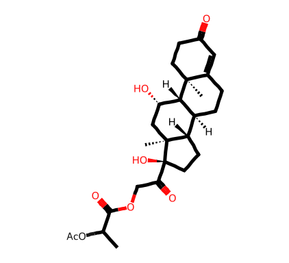 CC(=O)OC(C)C(=O)OCC(=O)[C@@]1(O)CC[C@H]2[C@@H]3CCC4=CC(=O)CC[C@]4(C)[C@H]3[C@@H](O)C[C@@]21C